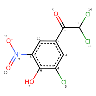 O=C(c1cc(Cl)c(O)c([N+](=O)[O-])c1)C(Cl)Cl